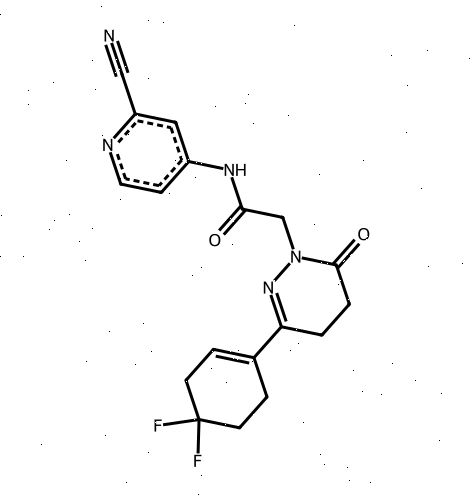 N#Cc1cc(NC(=O)CN2N=C(C3=CCC(F)(F)CC3)CCC2=O)ccn1